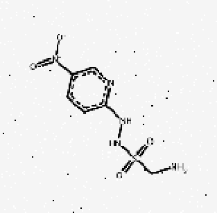 NCS(=O)(=O)NNc1ccc([N+](=O)[O-])cn1